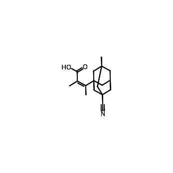 CC(C(=O)O)=C(C)C12CC3CC(C)(CC(C#N)(C3)C1)C2